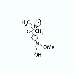 C=CCC(C)(C(=O)c1ccc(N(CCCO)CCOC)cc1)N1CCOCC1